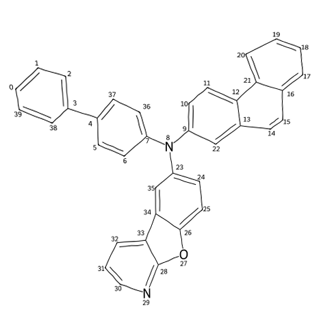 c1ccc(-c2ccc(N(c3ccc4c(ccc5ccccc54)c3)c3ccc4oc5ncccc5c4c3)cc2)cc1